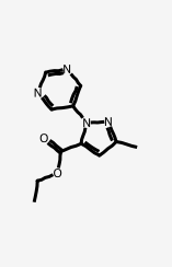 CCOC(=O)c1cc(C)nn1-c1cncnc1